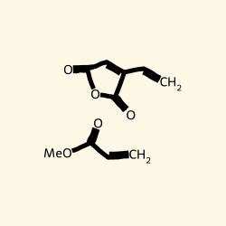 C=CC(=O)OC.C=CC1=CC(=O)OC1=O